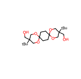 CC(C)(C)C1(CO)COC2(CCC3(CC2)OCC(CO)(C(C)(C)C)CO3)OC1